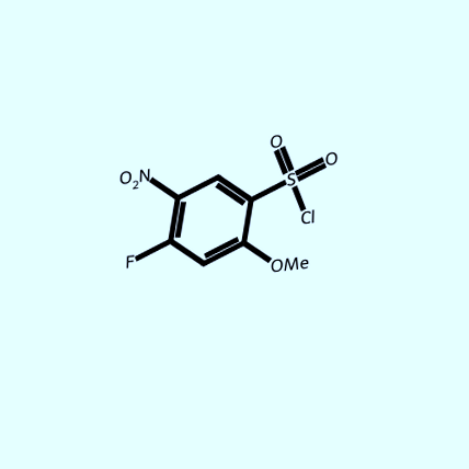 COc1cc(F)c([N+](=O)[O-])cc1S(=O)(=O)Cl